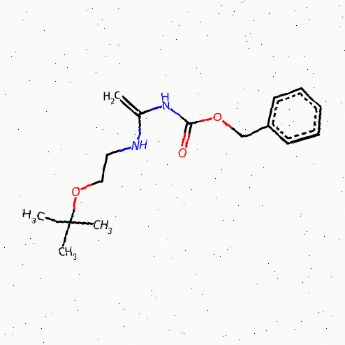 C=C(NCCOC(C)(C)C)NC(=O)OCc1ccccc1